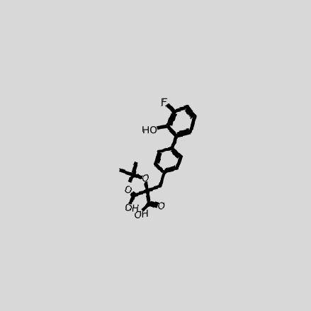 CC(C)(C)OC(Cc1ccc(-c2cccc(F)c2O)cc1)(C(=O)O)C(=O)O